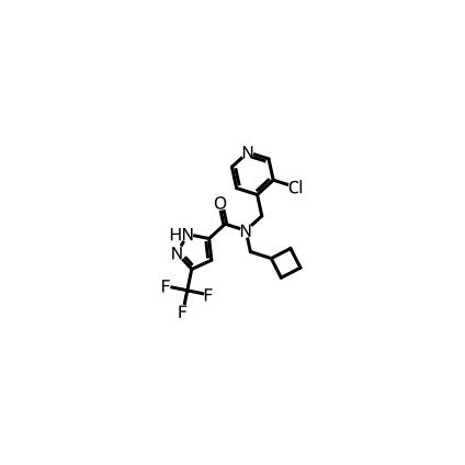 O=C(c1cc(C(F)(F)F)n[nH]1)N(Cc1ccncc1Cl)CC1CCC1